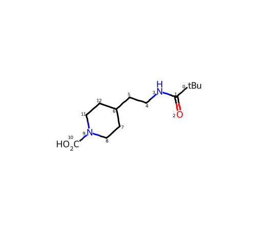 CC(C)(C)C(=O)NCCC1CCN(C(=O)O)CC1